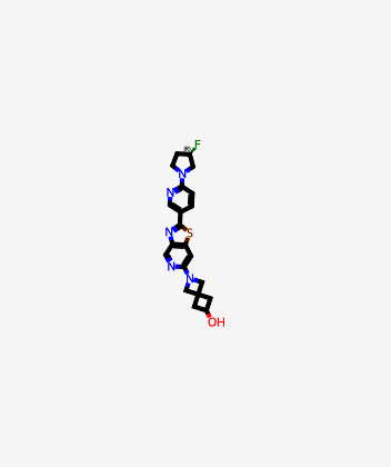 OC1CC2(C1)CN(c1cc3sc(-c4ccc(N5CC[C@@H](F)C5)nc4)nc3cn1)C2